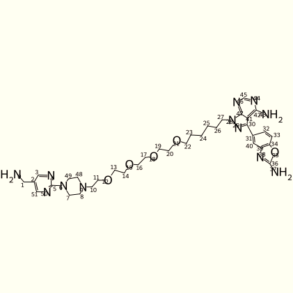 NCc1cnc(N2CCN(CCOCCOCCOCCOCCCCCCn3nc(-c4ccc5oc(N)nc5c4)c4c(N)ncnc43)CC2)nc1